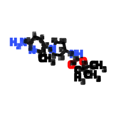 Cc1nc(N)ccc1N1CCC(NC(=O)OC(C)(C)C)CC1